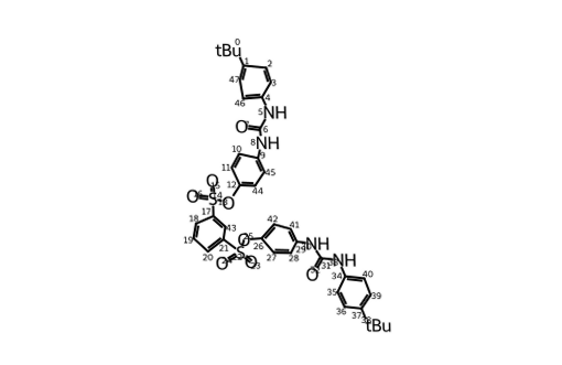 CC(C)(C)c1ccc(NC(=O)Nc2ccc(OS(=O)(=O)c3cccc(S(=O)(=O)Oc4ccc(NC(=O)Nc5ccc(C(C)(C)C)cc5)cc4)c3)cc2)cc1